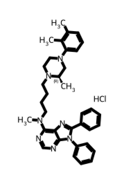 Cc1cccc(N2CCN(CCCCN(C)c3ncnc4c3nc(-c3ccccc3)n4-c3ccccc3)[C@H](C)C2)c1C.Cl